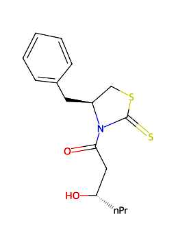 CCC[C@H](O)CC(=O)N1C(=S)SC[C@@H]1Cc1ccccc1